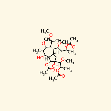 COC[C@@H](C)[C@@H]1C([C@H](C[C@H](C)OC(C)=O)OC)[C@@H]2C[C@](O)([C@@H](OC)[C@@H](C)OC(C)=O)[C@H](OC(C)=O)[C@@H]2[C@@H](O)[C@H](C)[C@@H]1OC